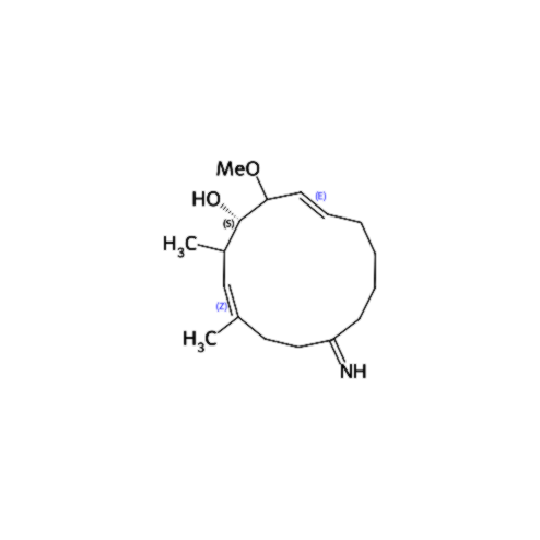 COC1/C=C/CCCCC(=N)CC/C(C)=C\C(C)[C@@H]1O